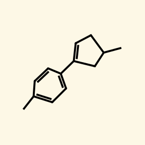 Cc1ccc(C2=CCC(C)C2)cc1